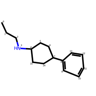 CCCNC1CCC(c2ccccc2)CC1